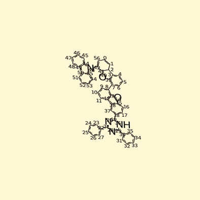 C1=CC2c3cccc(-c4cccc5c4oc4ccc(C6N=C(c7ccccc7)N=C(c7ccccc7)N6)cc45)c3OC2C(n2c3ccccc3c3ccccc32)=C1